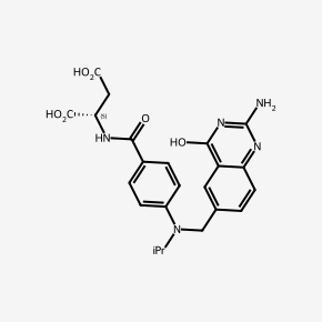 CC(C)N(Cc1ccc2nc(N)nc(O)c2c1)c1ccc(C(=O)N[C@@H](CC(=O)O)C(=O)O)cc1